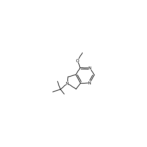 COc1ncnc2c1CN(C(C)(C)C)C2